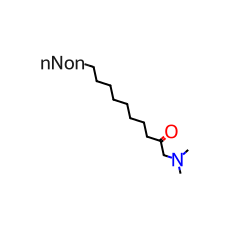 CCCCCCCCCCCCCCCCCC(=O)CN(C)C